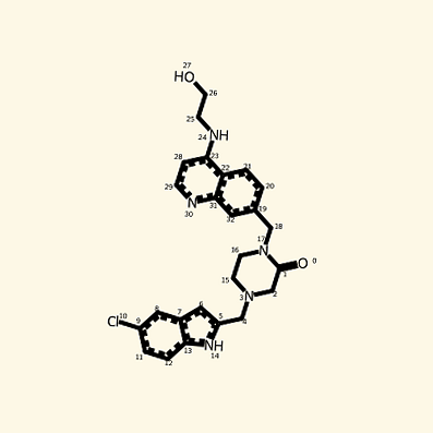 O=C1CN(Cc2cc3cc(Cl)ccc3[nH]2)CCN1Cc1ccc2c(NCCO)ccnc2c1